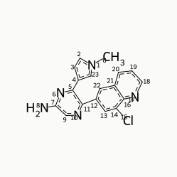 Cn1ccc(-c2nc(N)cnc2-c2cc(Cl)c3ncccc3c2)c1